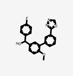 COc1ccc(C(O)c2ccc(F)cc2)cc1-c1cccc(-c2nnco2)c1